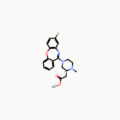 CC[C@H](C)OC(=O)C[C@H]1CN(C2=Nc3cc(Cl)ccc3Oc3ccccc32)CCN1C